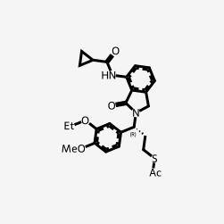 CCOc1cc([C@@H](CCSC(C)=O)N2Cc3cccc(NC(=O)C4CC4)c3C2=O)ccc1OC